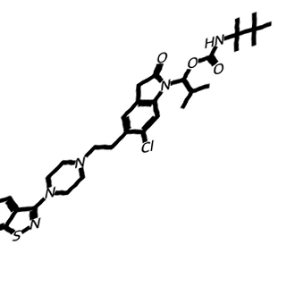 CC(C)C(OC(=O)NC(C)(C)C(C)(C)C)N1C(=O)Cc2cc(CCN3CCN(c4nsc5ccccc45)CC3)c(Cl)cc21